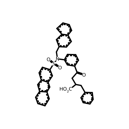 O=C(CC(Cc1ccccc1)C(=O)O)c1cccc(N(Cc2ccc3ccccc3c2)S(=O)(=O)c2ccc3cc4ccccc4cc3c2)c1